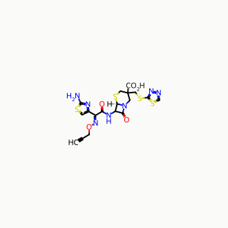 C#CCON=C(C(=O)NC1C(=O)N2CC(CSc3nncs3)(C(=O)O)CS[C@H]12)c1csc(N)n1